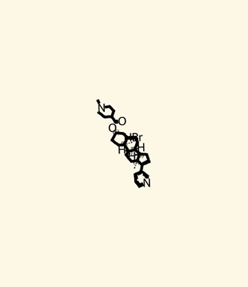 Br.CN1CCC(C(=O)O[C@H]2CC[C@@]3(C)C(=CC[C@@H]4[C@@H]3CC[C@]3(C)C(c5cccnc5)=CC[C@@H]43)C2)CC1